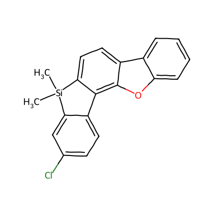 C[Si]1(C)c2cc(Cl)ccc2-c2c1ccc1c2oc2ccccc21